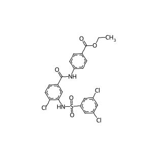 CCOC(=O)c1ccc(NC(=O)c2ccc(Cl)c(NS(=O)(=O)c3cc(Cl)cc(Cl)c3)c2)cc1